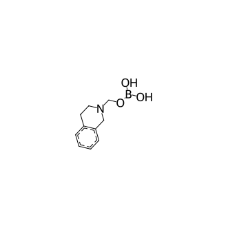 OB(O)OCN1CCc2ccccc2C1